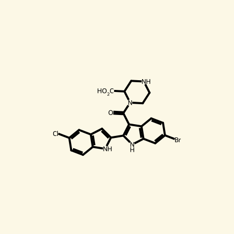 O=C(O)C1CNCCN1C(=O)c1c(-c2cc3cc(Cl)ccc3[nH]2)[nH]c2cc(Br)ccc12